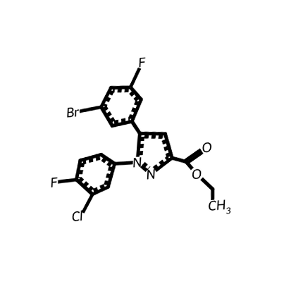 CCOC(=O)c1cc(-c2cc(F)cc(Br)c2)n(-c2ccc(F)c(Cl)c2)n1